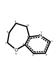 c1cnc2c(c1)OCCCC2